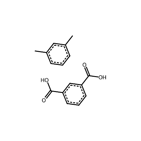 Cc1cccc(C)c1.O=C(O)c1cccc(C(=O)O)c1